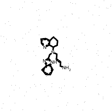 NCC=CCN(Cc1nc2ccccc2[nH]1)C1CCCc2cccnc21